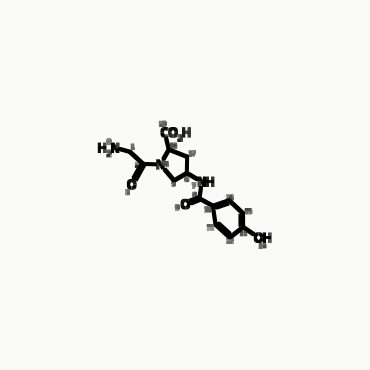 NCC(=O)N1CC(NC(=O)c2ccc(O)cc2)CC1C(=O)O